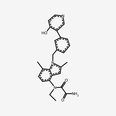 CCN(C(=O)C(N)=O)c1ccc(C)c2c1cc(C)n2Cc1cccc(-c2cnccc2O)c1